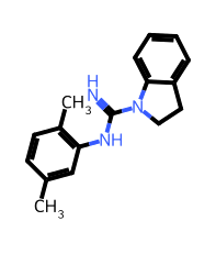 Cc1ccc(C)c(NC(=N)N2CCc3ccccc32)c1